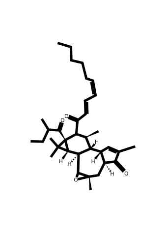 CCCCC/C=C\C=C\C(=O)C1[C@@H](C)[C@@H]2[C@@H]3C=C(C)C(=O)[C@H]3C[C@]3(C)OC3[C@H]2[C@@H]2C(C)(C)[C@]12C(=O)C(C)CC